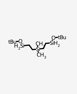 CC(C)(C)O[SiH2]CC[Si](C)(C)CC[SiH2]OC(C)(C)C